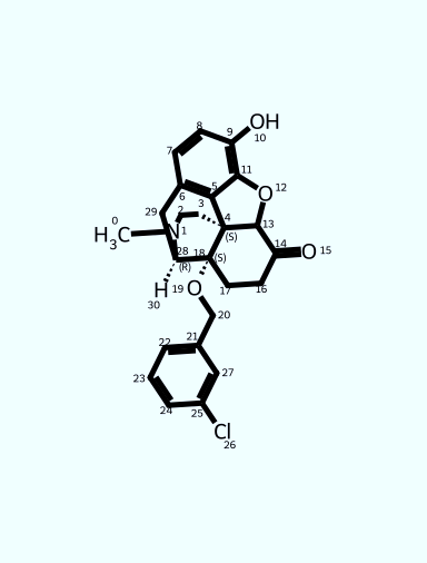 CN1CC[C@]23c4c5ccc(O)c4OC2C(=O)CC[C@@]3(OCc2cccc(Cl)c2)[C@H]1C5